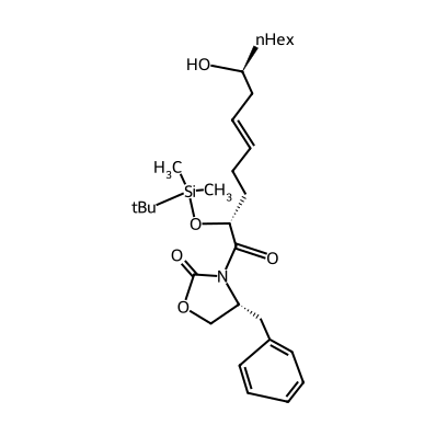 CCCCCC[C@H](O)C/C=C/CC[C@@H](O[Si](C)(C)C(C)(C)C)C(=O)N1C(=O)OC[C@H]1Cc1ccccc1